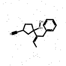 C/C=C(\Cc1ccccc1)C1(NO)CCC(C#N)C1